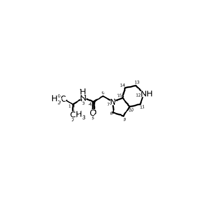 CC(C)NC(=O)CN1CCC2CNCCC21